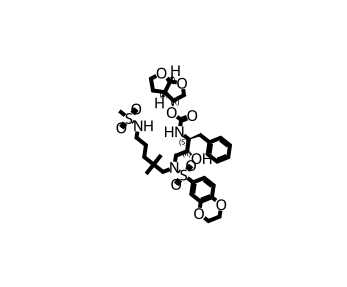 CC(C)(CCCNS(C)(=O)=O)CN(C[C@@H](O)[C@H](Cc1ccccc1)NC(=O)O[C@H]1CO[C@H]2OCC[C@H]21)S(=O)(=O)c1ccc2c(c1)OCCO2